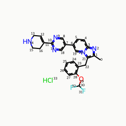 Cc1nc2ccc(-c3cnc(C4=CCNCC4)nc3)cn2c1Cc1ccccc1OC(F)F.Cl